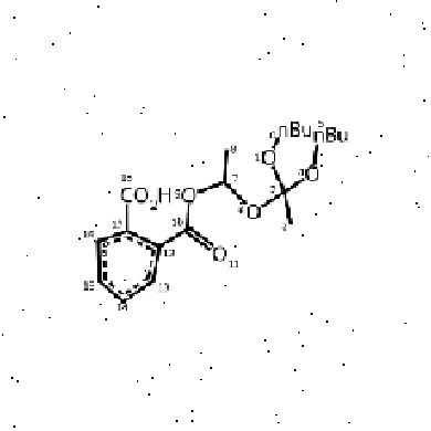 CCCCOC(C)(OCCCC)OC(C)OC(=O)c1ccccc1C(=O)O